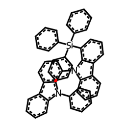 c1ccc(-n2c3ccccc3c3cccc(-n4c5ccccc5c5cccc([Si](c6ccccc6)(c6ccccc6)c6ccccc6)c54)c32)cc1